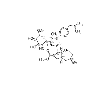 CCC[C@@H]1CCO[C@@H]2[C@@H](C1)CN(C(=O)OC(C)(C)C)[C@@H]2C(=O)N[C@H]([C@H](C)Sc1ccc(CN(C)C)cc1)[C@H]1OC(SC)[C@H](O)[C@H](O)C1O